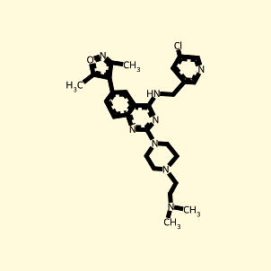 Cc1noc(C)c1-c1ccc2nc(N3CCN(CCN(C)C)CC3)nc(NCc3cncc(Cl)c3)c2c1